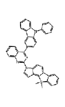 C[Si]1(C)c2ccccc2-c2ccc3c(ccn3-c3nc(-c4ccc5c(c4)c4ccccc4n5-c4ccccc4)c4ccccc4n3)c21